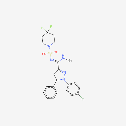 CCNC(=NS(=O)(=O)N1CCC(F)(F)CC1)C1=NN(c2ccc(Cl)cc2)C(c2ccccc2)C1